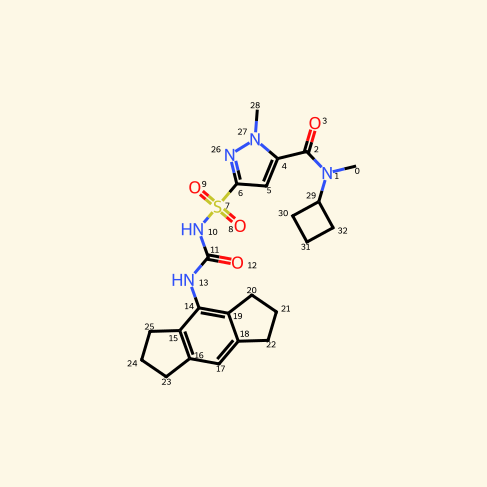 CN(C(=O)c1cc(S(=O)(=O)NC(=O)Nc2c3c(cc4c2CCC4)CCC3)nn1C)C1CCC1